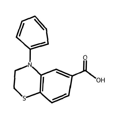 O=C(O)c1ccc2c(c1)N(c1ccccc1)CCS2